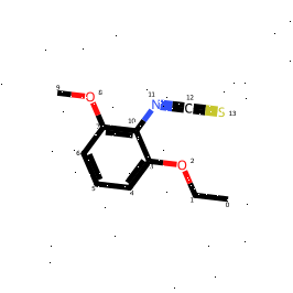 CCOc1cccc(OC)c1N=C=S